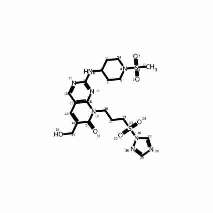 CS(=O)(=O)N1CCC(Nc2ncc3cc(CO)c(=O)n(CCCS(=O)(=O)n4cncn4)c3n2)CC1